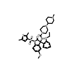 CCOc1ccccc1C1(NC(=O)N2CCN(C3CCN(C)CC3)CC2)C(=O)N(S(=O)(=O)c2cc(C)sc2C)c2ccc(OC)cc21